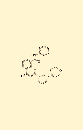 O=C(Nc1ccccn1)c1cccc2c(=O)cc(-c3cccc(N4CCOCC4)c3)oc12